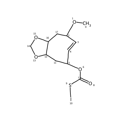 COC1/C=C/C(OC(=O)SI)CC2OCOC2C1